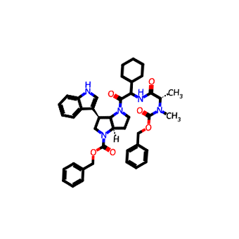 C[C@@H](C(=O)NC(C(=O)N1CC[C@@H]2C1[C@H](c1c[nH]c3ccccc13)CN2C(=O)OCc1ccccc1)C1CCCCC1)N(C)C(=O)OCc1ccccc1